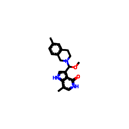 COC(c1c[nH]c2c(C)c[nH]c(=O)c12)N1CCc2cc(C)ccc2C1